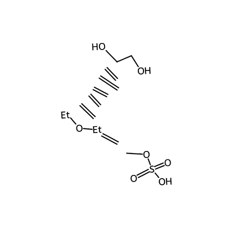 C=C.C=C.C=C.C=C.C=C.C=C.CCOCC.COS(=O)(=O)O.OCCO